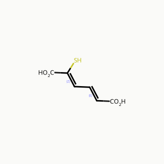 O=C(O)/C=C/C=C(\S)C(=O)O